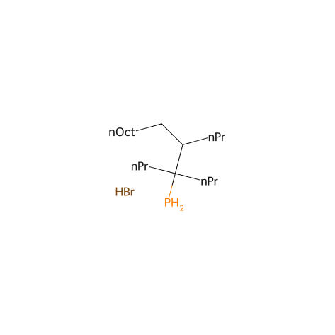 Br.CCCCCCCCCC(CCC)C(P)(CCC)CCC